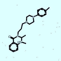 Cc1ccc(N2CCN(CCCN3C(=O)c4ccccc4[SiH](C)C3C)CC2)cc1